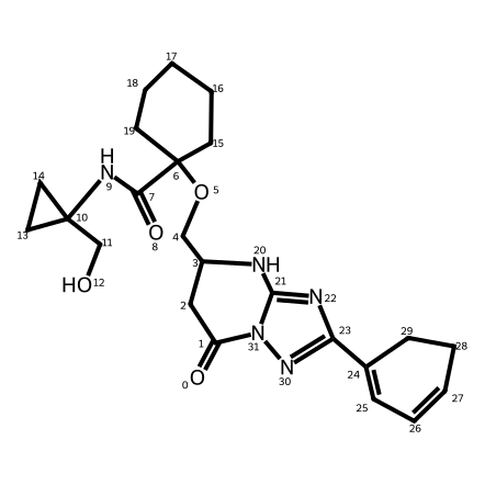 O=C1CC(COC2(C(=O)NC3(CO)CC3)CCCCC2)Nc2nc(C3=CC=CCC3)nn21